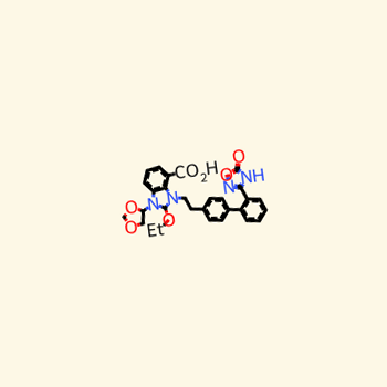 CCOC1N(CCc2ccc(-c3ccccc3-c3noc(=O)[nH]3)cc2)c2c(C(=O)O)cccc2N1C1COCO1